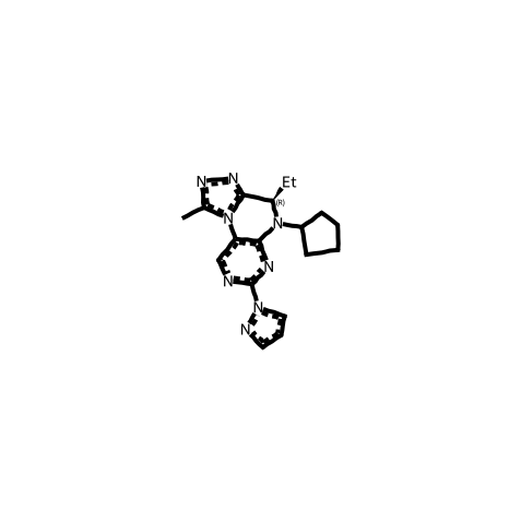 CC[C@@H]1c2nnc(C)n2-c2cnc(-n3cccn3)nc2N1C1CCCC1